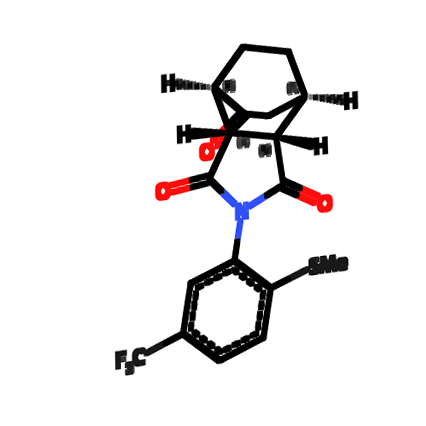 CSc1ccc(C(F)(F)F)cc1N1C(=O)[C@H]2[C@@H]3CC[C@@H](C(=O)C3)[C@H]2C1=O